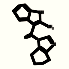 Cc1[nH]c2ccccc2c1C(=O)n1cnc2c1CCCC2